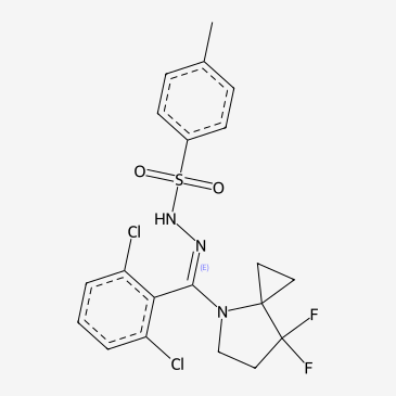 Cc1ccc(S(=O)(=O)N/N=C(\c2c(Cl)cccc2Cl)N2CCC(F)(F)C23CC3)cc1